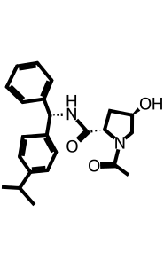 CC(=O)N1C[C@H](O)C[C@H]1C(=O)N[C@@H](c1ccccc1)c1ccc(C(C)C)cc1